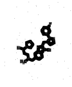 CCC(CCN(C)Cc1ccc2c(c1)nc(Cc1ccnn1-c1cccc(F)c1)n2CC)N1CCCC1